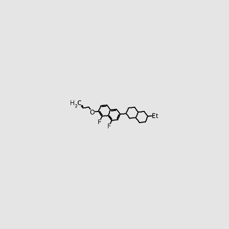 C=CCOc1ccc2cc(C3CCC4CC(CC)CCC4C3)cc(F)c2c1F